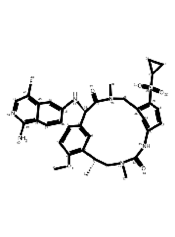 COc1ccc2cc1[C@@H](C)CN(C)C(=O)Nc1ccc(S(=O)(=O)C3CC3)c(c1)CN(C)C(=O)[C@@H]2Nc1ccc2c(N)ncc(F)c2c1